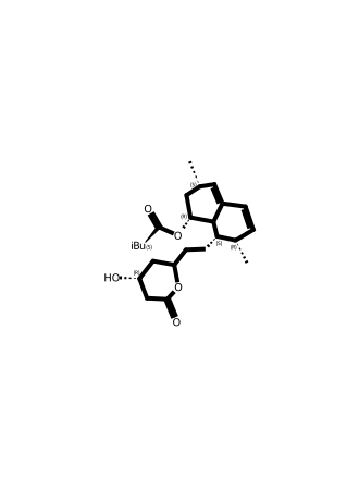 CC[C@H](C)C(=O)O[C@@H]1C[C@H](C)C=C2C=C[C@H](C)[C@H](CCC3C[C@@H](O)CC(=O)O3)C21